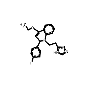 CCOC1=CC(c2ccc(F)cc2)N(CCc2nnc[nH]2)c2ccccc21